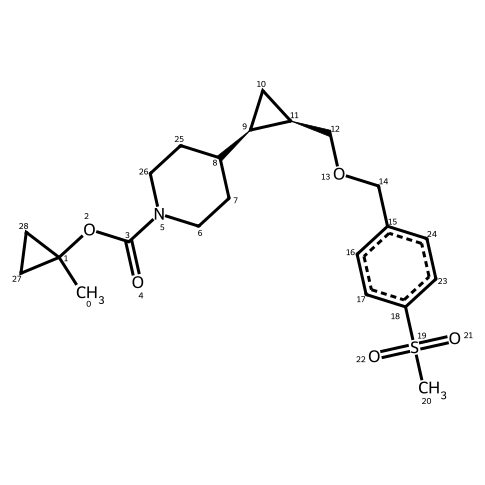 CC1(OC(=O)N2CCC([C@H]3C[C@H]3COCc3ccc(S(C)(=O)=O)cc3)CC2)CC1